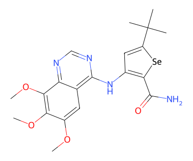 COc1cc2c(Nc3cc(C(C)(C)C)[se]c3C(N)=O)ncnc2c(OC)c1OC